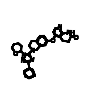 O=C1CCc2c(Oc3ccc4c(c3)CN(c3nc(-c5ccccc5)nn3C3CCCCO3)CC4)ccnc2N1